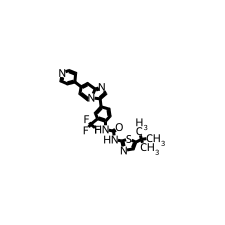 CC(C)(C)c1cnc(NC(=O)Nc2ccc(-c3cnc4cc(-c5ccncc5)ccn34)cc2C(F)(F)F)s1